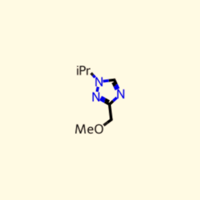 COCc1ncn(C(C)C)n1